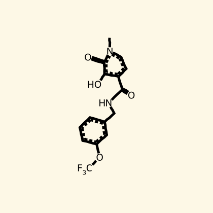 Cn1ccc(C(=O)NCc2cccc(OC(F)(F)F)c2)c(O)c1=O